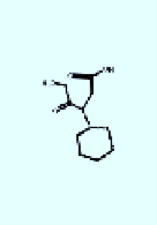 CCC(=O)C(CC(=O)O)C1CCCCC1